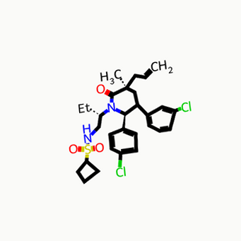 C=CC[C@@]1(C)CC(c2cccc(Cl)c2)[C@@H](c2ccc(Cl)cc2)N([C@@H](CC)CNS(=O)(=O)C2CCC2)C1=O